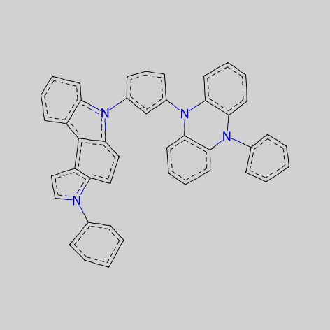 c1ccc(N2c3ccccc3N(c3cccc(-n4c5ccccc5c5c6ccn(-c7ccccc7)c6ccc54)c3)c3ccccc32)cc1